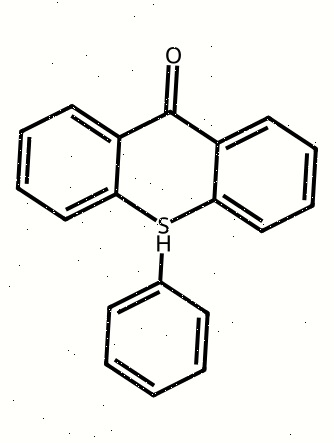 O=C1c2ccccc2[SH](c2ccccc2)c2ccccc21